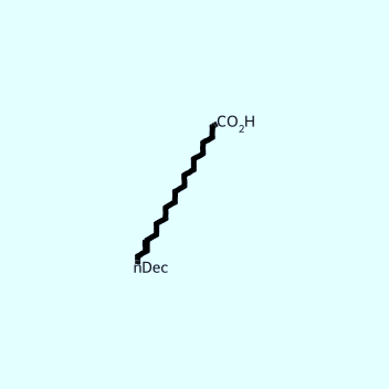 CCCCCCCCCCCC=CCCCCCCCCCCCCCCC(=O)O